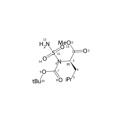 COC(=O)[C@@H](CC(C)C)N(C(=O)OC(C)(C)C)S(N)(=O)=O